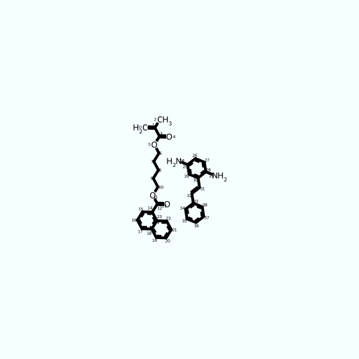 C=C(C)C(=O)OCCCCCOC(=O)c1cccc2ccccc12.Nc1ccc(N)c(C=Cc2ccccc2)c1